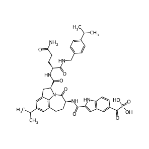 CC(C)c1ccc(CNC(=O)[C@H](CCC(N)=O)NC(=O)[C@@H]2Cc3cc(C(C)C)cc4c3N2C(=O)[C@@H](NC(=O)c2cc3cc(C(=O)P(=O)(O)O)ccc3[nH]2)CC4)cc1